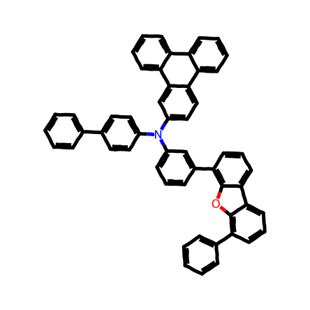 c1ccc(-c2ccc(N(c3cccc(-c4cccc5c4oc4c(-c6ccccc6)cccc45)c3)c3ccc4c5ccccc5c5ccccc5c4c3)cc2)cc1